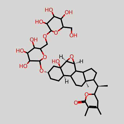 CC1=C(C)C(=O)OC([C@H](C)C2CCC3C4C(CC[C@@]32C)[C@H]2CC[C@H](OC3OC(COC5OC(CO)C(O)C(O)C5O)C(O)C(O)C3O)C[C@]2(O)[C@H]2O[C@@H]42)C1